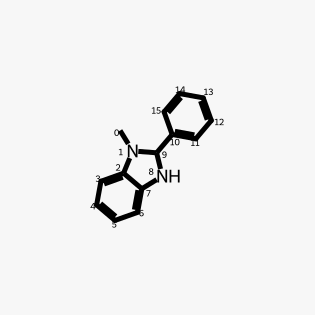 CN1c2ccccc2NC1c1ccccc1